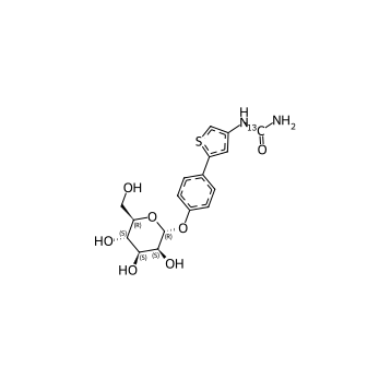 N[13C](=O)Nc1csc(-c2ccc(O[C@H]3O[C@H](CO)[C@@H](O)[C@H](O)[C@@H]3O)cc2)c1